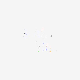 Cc1cc([C@@H](C)Nc2ccc(Cl)nc2C(=O)NS(C)(=O)=O)c2nc(N3CCC(n4nccc4N(C)C)CC3)n(C)c(=O)c2c1